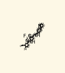 C#Cc1cc(C(=O)Nc2ccc(CNCCN3CCN(c4ccccn4)CC3)c(C(F)(F)F)c2)ccc1C